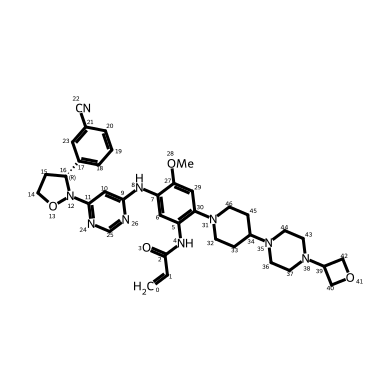 C=CC(=O)Nc1cc(Nc2cc(N3OCC[C@@H]3c3cccc(C#N)c3)ncn2)c(OC)cc1N1CCC(N2CCN(C3COC3)CC2)CC1